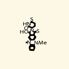 CN[C@H]1C2C=CC(C2)C1N(C)c1ccc2c(c1)C(O)N(C1CCC(=S)NC1=O)C2=S